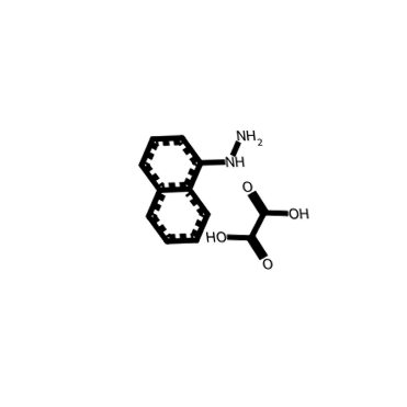 NNc1cccc2ccccc12.O=C(O)C(=O)O